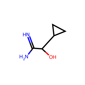 N=C(N)C(O)C1CC1